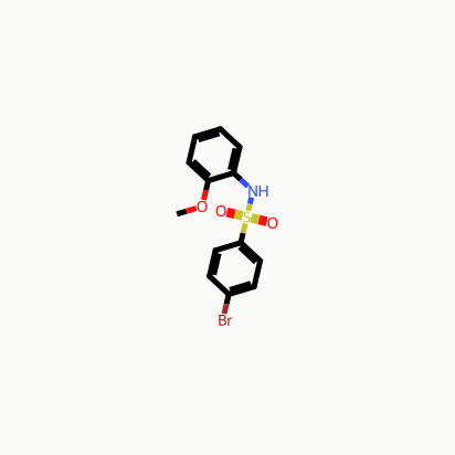 COc1ccccc1NS(=O)(=O)c1ccc(Br)cc1